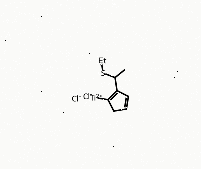 CCSC(C)C1=[C]([Ti+2])CC=C1.[Cl-].[Cl-]